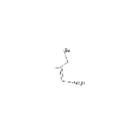 CC(=CS(=O)(=O)O)CC(C)(C)C